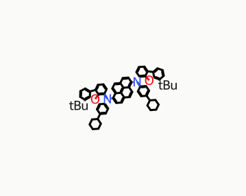 CC(C)(C)c1cccc2c1oc1c(N(c3ccc(C4CCCCC4)cc3)c3ccc4ccc5c(N(c6ccc(C7CCCCC7)cc6)c6cccc7c6oc6c(C(C)(C)C)cccc67)ccc6ccc3c4c65)cccc12